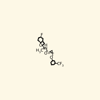 C[C@@H](NC(=O)[C@@H]1C[C@H]1COc1cccc(C(F)(F)F)c1)c1cc2cc(F)ccc2o1